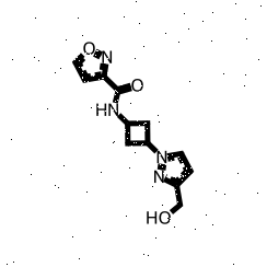 O=C(NC1CC(n2ccc(CO)n2)C1)c1ccon1